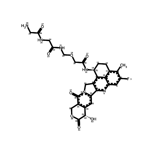 Cc1c(F)cc2nc3c(c4c2c1CC[C@@H]4NC(=O)COCNC(=O)CNC(=O)CN)Cn1c-3cc2c(c1=O)COC(=O)[C@H]2O